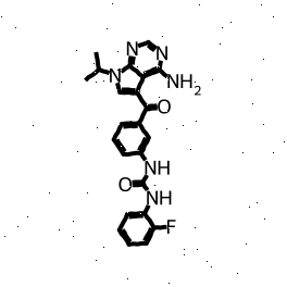 CC(C)n1cc(C(=O)c2cccc(NC(=O)Nc3ccccc3F)c2)c2c(N)ncnc21